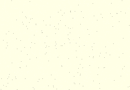 CCOC(=O)/C=C/c1ccc(O)c(C(F)(F)F)c1C(F)(F)F